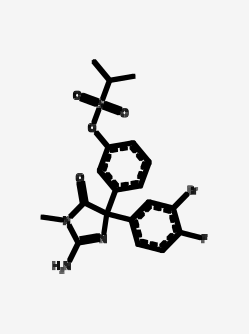 CC(C)S(=O)(=O)Oc1cccc(C2(c3ccc(F)c(Br)c3)N=C(N)N(C)C2=O)c1